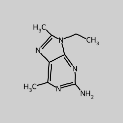 CCn1c(C)nc2c(C)nc(N)nc21